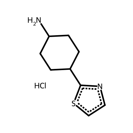 Cl.NC1CCC(c2nccs2)CC1